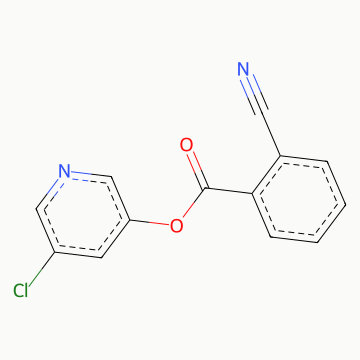 N#Cc1ccccc1C(=O)Oc1cncc(Cl)c1